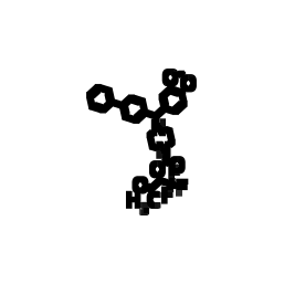 CC(=O)C(OC(=O)N1CCN(C(c2ccc(-c3ccccc3)cc2)c2ccc3c(c2)OCO3)CC1)C(F)(F)F